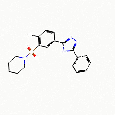 Cc1ccc(-c2nnc(-c3ccccc3)[nH]2)cc1S(=O)(=O)N1CCCCC1